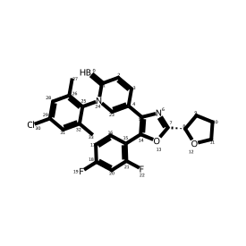 B=C1C=CC(c2nc([C@@H]3CCCO3)oc2-c2ccc(F)cc2F)=CN1c1c(C)cc(Cl)cc1C